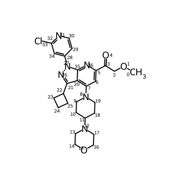 COCC(=O)c1cc(N2CCC(N3CCOCC3)CC2)c2c(C3CCC3)nn(-c3ccnc(Cl)c3)c2n1